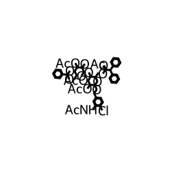 CC(=O)Nc1cc(COC2OC(COC(=O)C(c3ccccc3)c3ccccc3)C(OC3OC4COC(c5ccccc5)OC4C(OC(C)=O)C3OC(C)=O)C(OC(C)=O)C2OC(C)=O)ccc1Cl